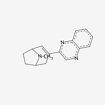 CN1C2C=C(c3cnc4ccccc4n3)CC1CC2